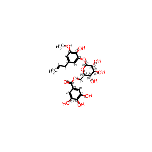 C=CCc1cc(OC)c(O)c(O[C@@H]2O[C@H](COC(=O)c3cc(O)c(O)c(O)c3)[C@@H](O)[C@H](O)[C@H]2O)c1